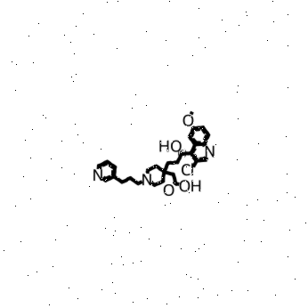 COc1ccc2ncc(Cl)c([C@@H](O)CCC3(CC(=O)O)CCN(CCCc4cccnc4)CC3)c2c1